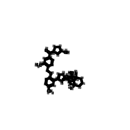 Cc1ccc(OCc2ccc(C(=O)N3CC[C@@H](O)C3)cc2C)c(-c2csc(N3C[C@H]4CCC[C@@H](C3)[C@H]4C(=O)O)n2)c1